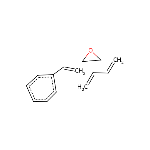 C1CO1.C=CC=C.C=Cc1ccccc1